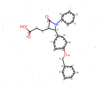 O=C(O)CCC1C(=O)N(c2ccccc2)C1c1ccc(OCc2ccccc2)cc1